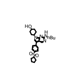 CCCCNc1ncc2c(-c3ccc(S(=O)(=O)C4CCCC4)cc3)cn(C3CCC(O)CC3)c2n1